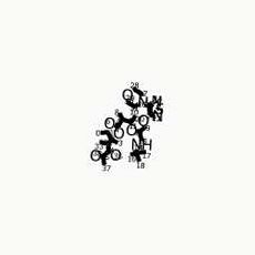 CCC(C)(OC(=O)C(C)C(C)OC(CNC(C)(C)C)COc1nsnc1N1CCOCC1)C(C)C(=O)C(C)=O